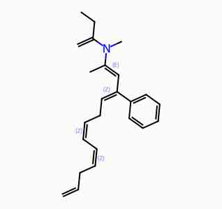 C=CC/C=C\C=C/C/C=C(/C=C(\C)N(C)C(=C)CC)c1ccccc1